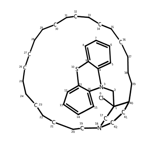 ClC1(CN2c3ccccc3Sc3ccccc32)CN2CCCCCCCCCCCCCCCCCCCCCC1CC2